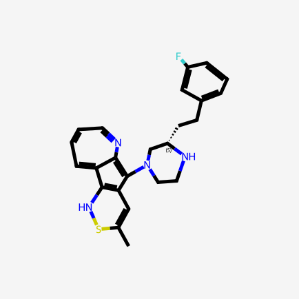 CC1=Cc2c(c3ccccnc-3c2N2CCN[C@@H](CCc3cccc(F)c3)C2)NS1